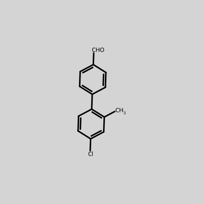 Cc1cc(Cl)ccc1-c1ccc(C=O)cc1